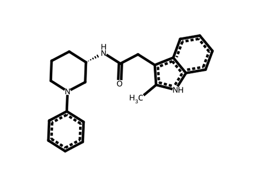 Cc1[nH]c2ccccc2c1CC(=O)N[C@H]1CCCN(c2ccccc2)C1